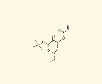 C=CC(=O)OC(COCC)NC(=O)OC(C)(C)C